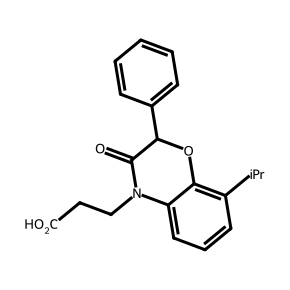 CC(C)c1cccc2c1OC(c1ccccc1)C(=O)N2CCC(=O)O